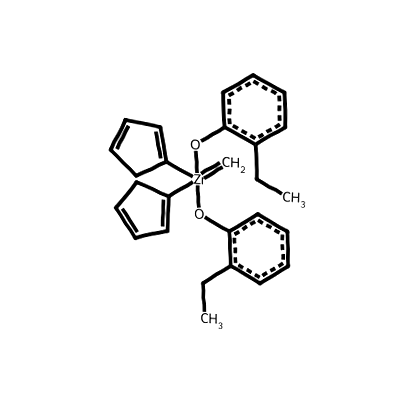 [CH2]=[Zr]([O]c1ccccc1CC)([O]c1ccccc1CC)([C]1=CC=CC1)[C]1=CC=CC1